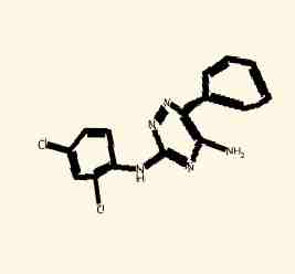 Nc1nc(Nc2ccc(Cl)cc2Cl)nnc1-c1ccccc1